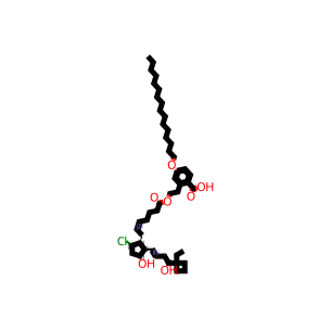 CCCCCCCCCCCCCCCCOc1ccc(C(=O)O)c(CCOC(=O)CCC/C=C\C[C@@H]2[C@@H](/C=C/C[C@H](O)C3(CC)CCC3)[C@H](O)C[C@H]2Cl)c1